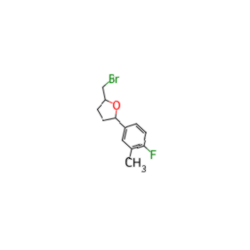 Cc1cc(C2CCC(CBr)O2)ccc1F